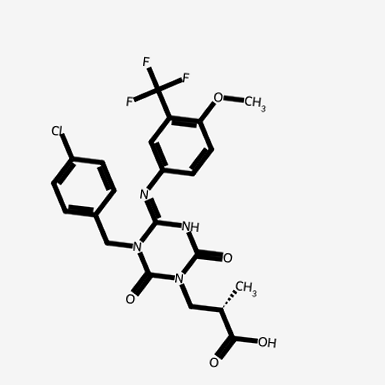 COc1ccc(/N=c2\[nH]c(=O)n(C[C@H](C)C(=O)O)c(=O)n2Cc2ccc(Cl)cc2)cc1C(F)(F)F